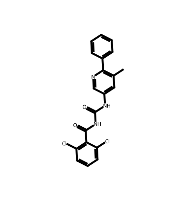 Cc1cc(NC(=O)NC(=O)c2c(Cl)cccc2Cl)cnc1-c1ccccc1